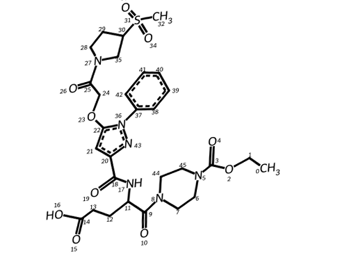 CCOC(=O)N1CCN(C(=O)C(CCC(=O)O)NC(=O)c2cc(OCC(=O)N3CCC(S(C)(=O)=O)C3)n(-c3ccccc3)n2)CC1